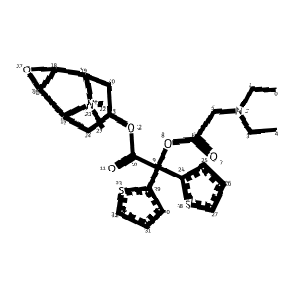 CCN(CC)CC(=O)OC(C(=O)OC1CC2C3OC3C(C1)[N+]2(C)C)(c1cccs1)c1cccs1